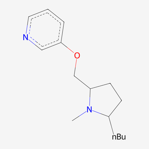 CCCCC1CCC(COc2cccnc2)N1C